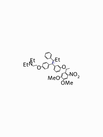 CC/C(=C(/c1ccc(OCCN(CC)CC)cc1)c1cccc(OC(C)c2cc(OC)c(OC)cc2[N+](=O)[O-])c1)c1ccccc1